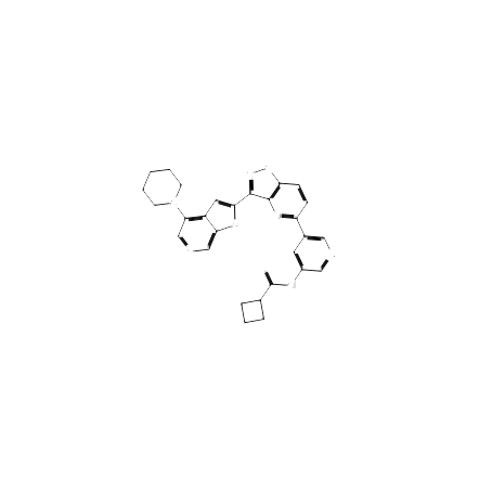 O=C(Nc1cncc(-c2ccc3[nH]nc(-c4cc5c(N6CCCCC6)cncc5[nH]4)c3n2)c1)C1CCC1